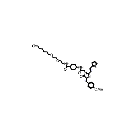 COc1ccc(/C=C2N=C(/C=C/c3cccs3)N(CC(=O)NC3CCC(C(=O)NCCOCCOCCCCCCCl)CC3)C\2=O)cc1